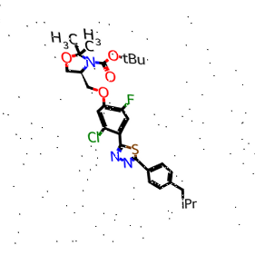 CC(C)Cc1ccc(-c2nnc(-c3cc(F)c(OC[C@H]4COC(C)(C)N4C(=O)OC(C)(C)C)cc3Cl)s2)cc1